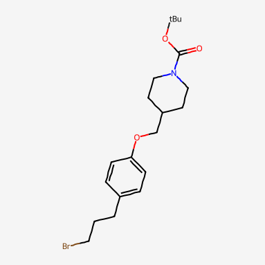 CC(C)(C)OC(=O)N1CCC(COc2ccc(CCCBr)cc2)CC1